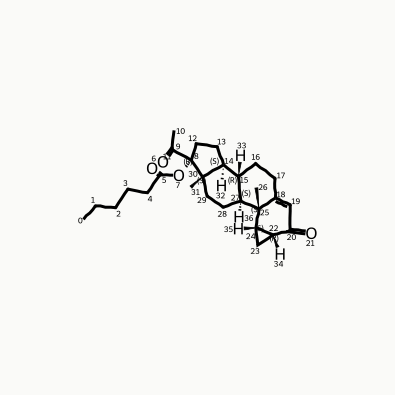 CCCCCC(=O)O[C@]1(C(C)=O)CC[C@H]2[C@@H]3CCC4=CC(=O)[C@@H]5C[C@@H]5[C@]4(C)[C@H]3CC[C@@]21C